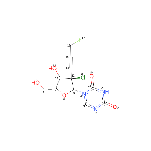 O=c1ncn([C@@H]2O[C@H](CO)C(O)[C@]2(Cl)C#CCF)c(=O)[nH]1